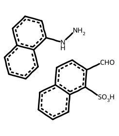 NNc1cccc2ccccc12.O=Cc1ccc2ccccc2c1S(=O)(=O)O